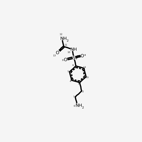 NCCc1ccc(S(=O)(=O)NC(N)=O)cc1